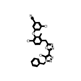 Cc1c(Cc2nnc(-c3nnn(Cc4ccccc4)c3Cl)o2)ccc(Cl)c1Oc1cc(Cl)cc(C#N)c1